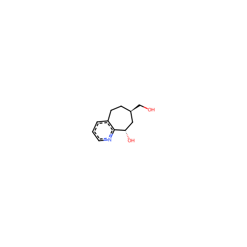 OC[C@@H]1CCc2cccnc2[C@@H](O)C1